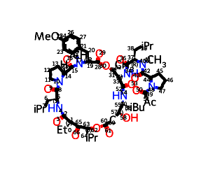 CC[C@@H]1C(=O)N[C@@H](CC(C)C)C(=O)N2CCC[C@H]2C(=O)N(C)[C@@H](Cc2ccc(OC)cc2)C(=O)O[C@H](C)[C@H](NC(=O)[C@@H](CC(C)C)N(C)C(=O)C2CCCN2C(=O)C(C)=O)C(=O)N[C@H]([C@@H](C)CC)[C@@H](O)CC(=O)O[C@@H](C(C)C)C1=O